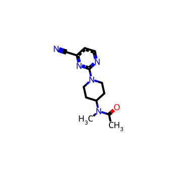 CC(=O)N(C)C1CCN(c2nccc(C#N)n2)CC1